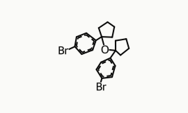 Brc1ccc(C2(OC3(c4ccc(Br)cc4)CCCC3)CCCC2)cc1